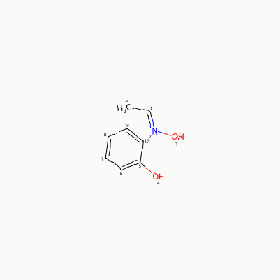 CC=NO.Oc1ccccc1